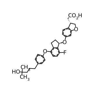 CC(C)(O)CCCc1ccc(Oc2ccc(F)c3c2CC[C@H]3Oc2ccc3c(c2)OC[C@H]3CC(=O)O)cc1